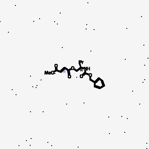 COC(=O)/C=C/C(=O)OC[C@H](NC(=O)OCc1ccccc1)C(C)C